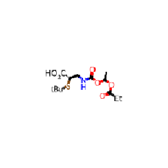 CCC(=O)O[C@H](C)OC(=O)NC[C@H](SC(C)(C)C)C(=O)O